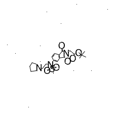 CC(C)(C)OC(=O)CN1C(=O)c2ccc(N(CCN3CCCCC3)S(C)(=O)=O)cc2C1=O